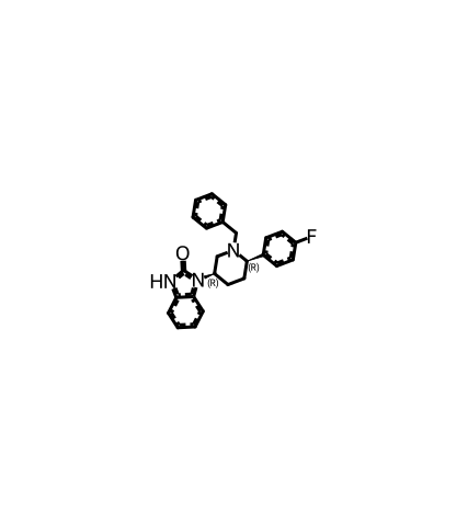 O=c1[nH]c2ccccc2n1[C@@H]1CC[C@H](c2ccc(F)cc2)N(Cc2ccccc2)C1